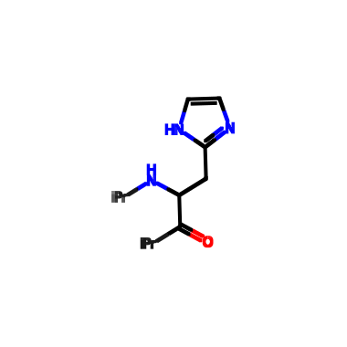 CC(C)NC(Cc1ncc[nH]1)C(=O)C(C)C